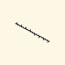 CC(C)=CCC/C(C)=C/CC/C(C)=C/CC/C(C)=C/C=C/C=C(\C)CC/C=C(\C)CC/C=C(\C)CCCC(C)C